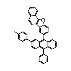 Cc1ccc(-c2ccc3c(-c4ccccc4)c4ccccc4c(-c4ccc5oc6c7ccccc7ccc6c5c4)c3c2)cc1